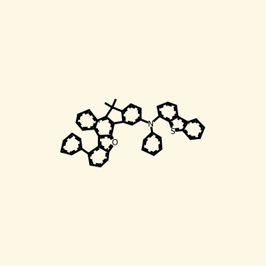 CC1(C)c2ccc(N(c3ccccc3)c3cccc4c3sc3ccccc34)cc2-c2c1c1ccccc1c1c2oc2cccc(-c3ccccc3)c21